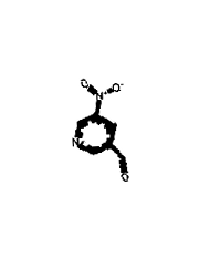 O=Cc1cncc([N+](=O)[O-])c1